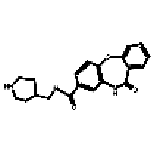 O=C(NCC1CCNCC1)c1ccc2c(c1)NC(=O)c1ccccc1S2